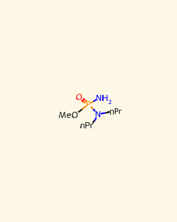 CCCN(CCC)P(N)(=O)OC